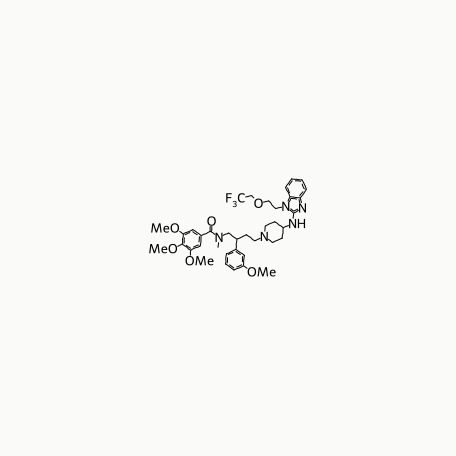 COc1cccc(C(CCN2CCC(Nc3nc4ccccc4n3CCOCC(F)(F)F)CC2)CN(C)C(=O)c2cc(OC)c(OC)c(OC)c2)c1